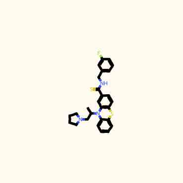 CC(CN1CCCC1)N1c2ccccc2Sc2ccc(C(=S)NCc3cccc(F)c3)cc21